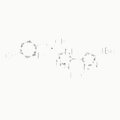 Cn1nc(C(C)(C)C)cc1-c1nnc(C(C)(C)Sc2ccc(Cl)cc2)[nH]1